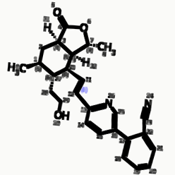 C[C@H]1C[C@H]2C(=O)O[C@H](C)[C@H]2[C@@H](/C=C/c2ccc(-c3ccccc3C#N)cn2)[C@@H]1CCO